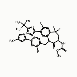 CC(C)(C)OC(=O)NC1CC(F)(F)c2cc(F)c(-c3nnc(C(C)(C)C#N)o3)cc2N(Cc2ccc(-n3cc(C(F)(F)F)cn3)nc2F)C1=O